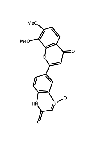 COc1ccc2c(=O)cc(-c3ccc4[nH]c(=O)c[n+]([O-])c4c3)oc2c1OC